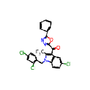 O=C(c1nnc(-c2ccccc2)o1)c1c(C(F)(F)F)n(Cc2ccc(Cl)cc2Cl)c2ccc(Cl)cc12